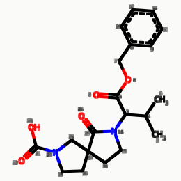 CC(C)C(C(=O)OCc1ccccc1)N1CCC2(CCN(C(=O)O)C2)C1=O